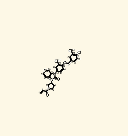 C=CC(=O)N1CC[C@@H](n2c(=O)n(-c3ccc(OCc4ccc(Cl)c(Cl)c4)c(Cl)c3)c3cnccc32)C1